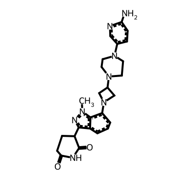 Cn1nc(C2CCC(=O)NC2=O)c2cccc(N3CC(N4CCN(c5ccc(N)nc5)CC4)C3)c21